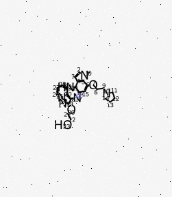 Cn1ccc2c1C(OCCN1CCCC1)=C/C(=N/c1c(OCCO)nn3ccccc13)C2=N